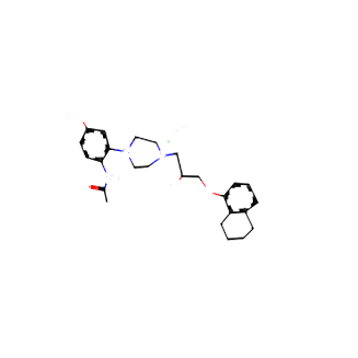 CC(=O)Nc1ccc(O)cc1N1CCN(CC(O)COc2cccc3c2CCCC3)CC1.Cl.Cl